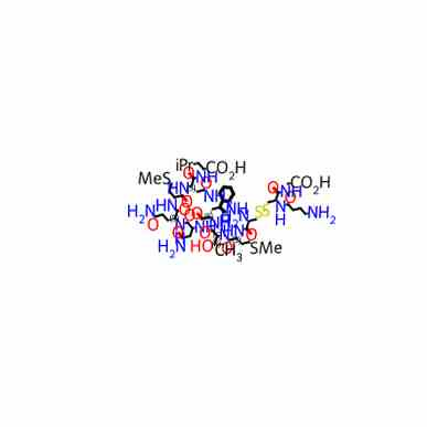 CSCCC(NC(=O)[C@H](CCC(N)=O)NC(=O)C(CC(N)=O)NC(=O)[C@H](Cc1c[nH]c2ccccc12)NC(=O)[C@@H](NC(=O)[C@H](CCSC)NC(=O)C(N)CSSCC(NC(=O)CCCN)C(=O)NCC(=O)O)[C@@H](C)O)C(=O)N[C@@H](CC(N)=O)C(=O)NC(CC(C)C)C(=O)O